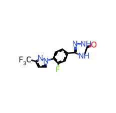 O=C1CNC(c2ccc(-n3ccc(C(F)(F)F)n3)c(F)c2)=NN1